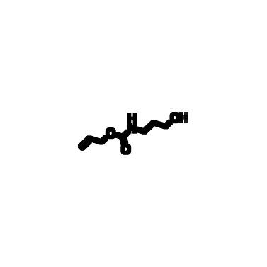 C=CCOC(=O)NCCCO